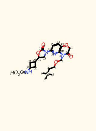 C[Si](C)(C)CCOCN1C(=O)COc2ccc(N3CC(C4CC(NC(=O)O)C4)OC3=O)nc21